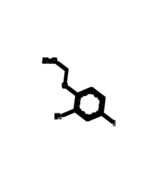 COCOc1ccc(I)cc1C(C)C